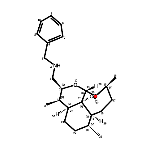 C[C@H]1[C@@H](CNCc2ccccc2)O[C@@H]2O[C@@]3(C)CC[C@H]4[C@H](C)CC[C@@H]1[C@@]24OO3